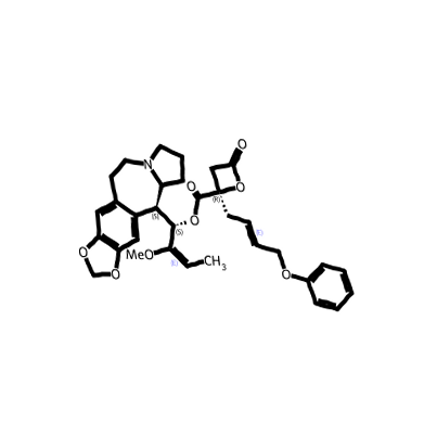 C/C=C(/OC)[C@@H](OC(=O)[C@@]1(C/C=C/COc2ccccc2)CC(=O)O1)[C@H]1c2cc3c(cc2CCN2CCCC12)OCO3